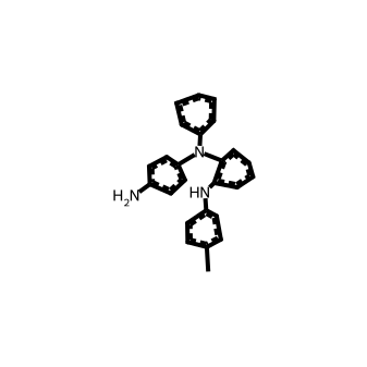 Cc1ccc(Nc2ccccc2N(c2ccccc2)c2ccc(N)cc2)cc1